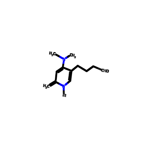 C=C1C=C(N(C)C)C(CCCC=O)=CN1CC